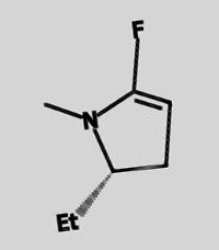 CC[C@H]1CC=C(F)N1C